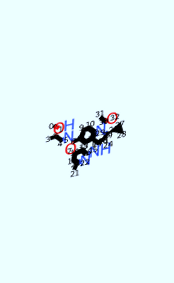 COC(C)CNC(=O)c1ccc2c(c1)[C@H](Nc1cccc(C)n1)[C@@H](C)[C@H](C1CC1)N2C(C)=O